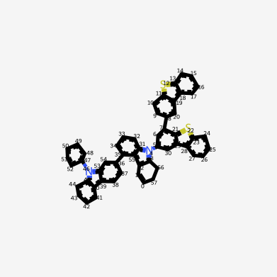 C1=Cc2c(n(-c3cc(-c4ccc5sc6ccccc6c5c4)c4sc5ccccc5c4c3)c3cccc(-c4ccc5c6ccccc6n(-c6ccccc6)c5c4)c23)CC1